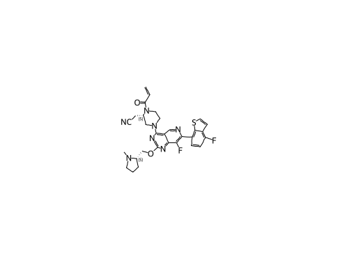 C=CC(=O)N1CCN(c2nc(OC[C@@H]3CCCN3C)nc3c(F)c(-c4ccc(F)c5ccsc45)ncc23)C[C@@H]1CC#N